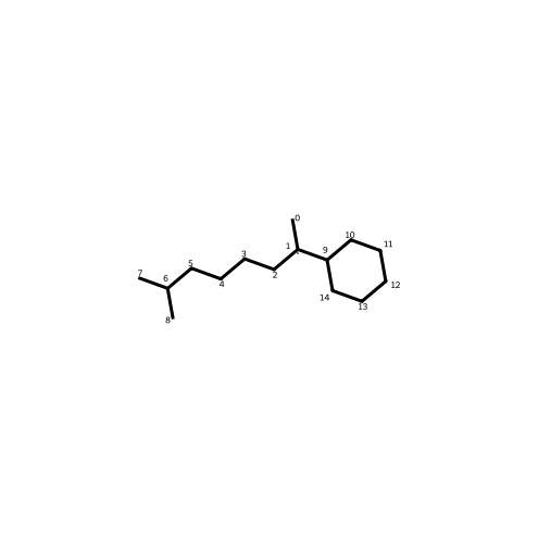 C[C](CCCCC(C)C)C1CCCCC1